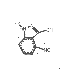 N#CC1=N[NH+]([O-])c2cccc([N+](=O)[O-])c21